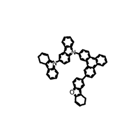 C1=Cc2oc3ccc(-c4ccc5c6ccccc6c6ccc(-n7c8ccccc8c8cc(-n9c%10c(c%11ccccc%119)CCC=C%10)ccc87)cc6c5c4)cc3c2CC1